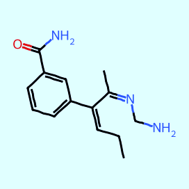 CC/C=C(\C(C)=N/CN)c1cccc(C(N)=O)c1